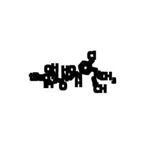 C#CCN(C)Cc1cc(NC(=O)CNC(=O)C(NC(=O)OC(C)(C)C)C(C)C)ccc1CCl